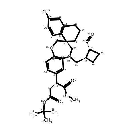 COC(=O)[C@H](CC(=O)OC(C)(C)C)c1ccc2c(c1)N(C[C@@H]1CC[C@H]1C=O)C[C@@]1(CCCc3cc(Cl)ccc31)CO2